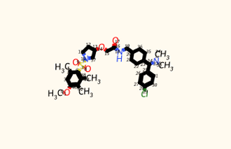 COc1cc(C)c(S(=O)(=O)N2CCC(OCC(=O)NCC3CCC(C(c4ccc(Cl)cc4)N(C)C)CC3)C2)c(C)c1C